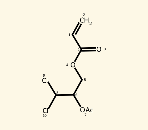 C=CC(=O)OCC(OC(C)=O)C(Cl)Cl